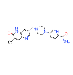 CCc1cc2ncc(CN3CCN(c4ccc(C(N)=O)nc4)CC3)cc2[nH]c1=O